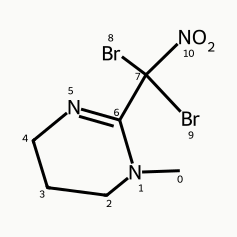 CN1CCCN=C1C(Br)(Br)[N+](=O)[O-]